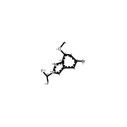 COc1cc(Br)cc2cn(C(F)F)nc12